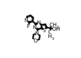 CC(C)(O)c1cc2nc(-c3cccnc3F)nc(N3CCOCC3)c2s1